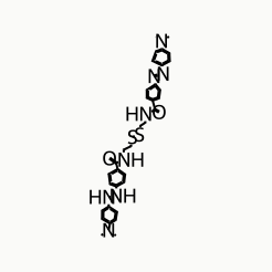 CN(C)c1ccc(/N=N/c2ccc(C(=O)NCCSSCCNC(=O)c3ccc(NNc4ccc(N(C)C)cc4)cc3)cc2)cc1